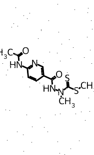 CSC(=S)N(C)NC(=O)c1ccc(NC(C)=O)nc1